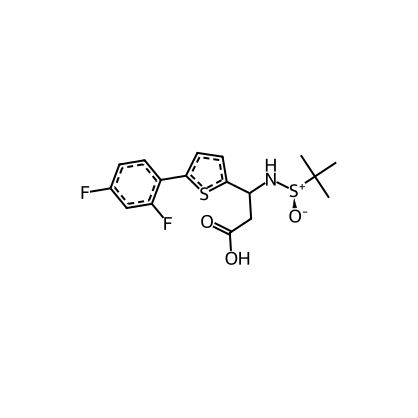 CC(C)(C)[S@@+]([O-])NC(CC(=O)O)c1ccc(-c2ccc(F)cc2F)s1